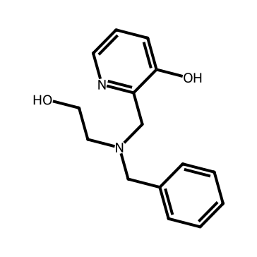 OCCN(Cc1ccccc1)Cc1ncccc1O